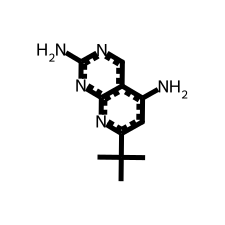 CC(C)(C)c1cc(N)c2cnc(N)nc2n1